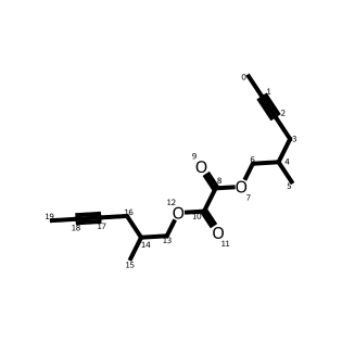 CC#CCC(C)COC(=O)C(=O)OCC(C)CC#CC